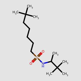 CC(NS(=O)(=O)CCCCCC(C)(C)C)C(C)(C)C